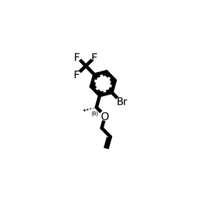 C=CCO[C@H](C)c1cc(C(F)(F)F)ccc1Br